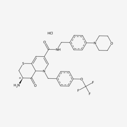 Cl.N[C@H]1CSC2=CC(C(=O)NCc3ccc(N4CCOCC4)cc3)=CN(Cc3ccc(OC(F)(F)F)cc3)C2C1=O